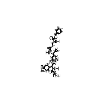 CC(C)(C)OC(=O)N[C@H](c1cn2ncc([C@H](NC3C[C@H]3CCNC(=O)OCc3ccccc3)C3CC3)cc2n1)C1CCC(F)(F)CC1